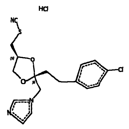 Cl.N#CSC[C@@H]1CO[C@@](CCc2ccc(Cl)cc2)(Cn2ccnc2)O1